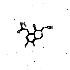 Cc1c(F)cc(CC(N)=O)c2c1CCC(CO)C2=O